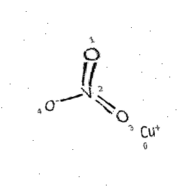 [Cu+].[O]=[V](=[O])[O-]